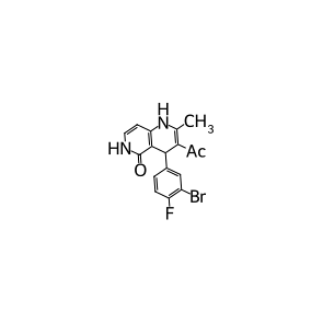 CC(=O)C1=C(C)Nc2cc[nH]c(=O)c2C1c1ccc(F)c(Br)c1